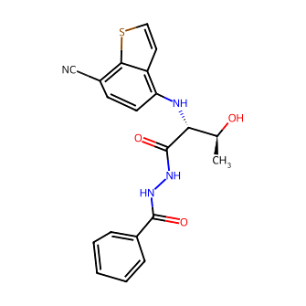 C[C@H](O)[C@@H](Nc1ccc(C#N)c2sccc12)C(=O)NNC(=O)c1ccccc1